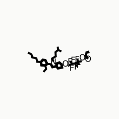 C=CC(=O)OCC(F)(F)C(F)(F)C(F)(F)COc1ccc2cc(-c3ccc(CCCCC)cc3CC)n(CCCC(C)C)c2c1